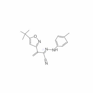 C=C(/C(C#N)=N/Nc1ccc(C)cc1)c1cc(C(C)(C)C)on1